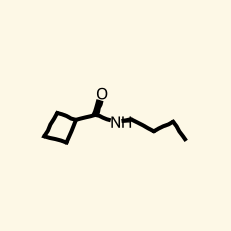 CCCCNC(=O)C1CCC1